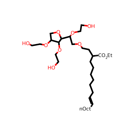 CCCCCCCCC=CCCCCCCC(CCOCC(OCCO)C1OCC(OCCO)C1OCCO)C(=O)OCC